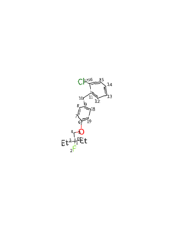 CCC(F)(CC)COc1ccc(Cc2ccccc2Cl)cc1